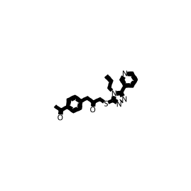 C=CCn1c(SCC(=O)Cc2ccc(C(C)=O)cc2)nnc1-c1cccnc1